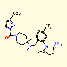 C[C@@H]1CC[C@@H](N)N1c1cc(C(F)(F)F)ccc1CN(C)C1(C)CCN(C(=O)n2ccc(C(=O)O)n2)CC1